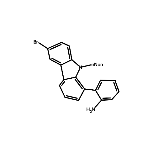 CCCCCCCCCn1c2ccc(Br)cc2c2cccc(-c3ccccc3N)c21